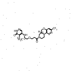 C[C@@H](COCCC(=O)N1CCN2c3nnc(C(F)(F)F)cc3OC[C@H]2C1)Nc1cn[nH]c(=O)c1C(F)(F)F